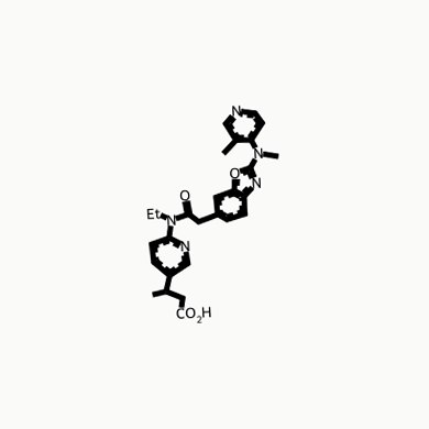 CCN(C(=O)Cc1ccc2nc(N(C)c3ccncc3C)oc2c1)c1ccc(C(C)CC(=O)O)cn1